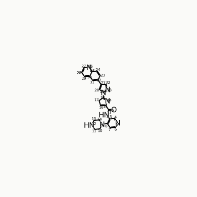 O=C(Nc1cnccc1N1CCNCC1)C1=CCC(n2cc(-c3ccc4ncccc4c3)cn2)=N1